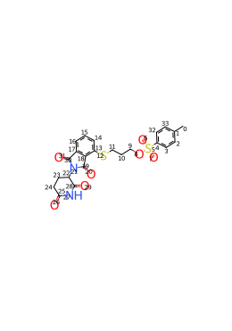 Cc1ccc(S(=O)(=O)OCCCSc2cccc3c2C(=O)N(C2CCC(=O)NC2=O)C3=O)cc1